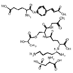 CC(O)C(=O)SC[C@H](NC(=O)CC[C@H](N)C(=O)O)C(=O)NCC(=O)O.NC(CCCC(=O)O)C(=O)O.NCCCCCN.N[C@@H](CS(=O)(=O)O)C(=O)O.O=C(O)C=Cc1ccccc1